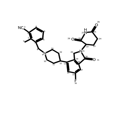 Cc1c(C#N)cccc1CN1CCC(c2cc(F)cc3c2CN(C2CCC(=O)NC2=O)C3=O)CC1